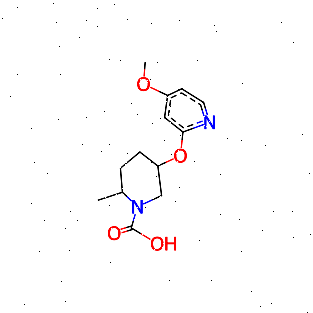 COc1ccnc(OC2CCC(C)N(C(=O)O)C2)c1